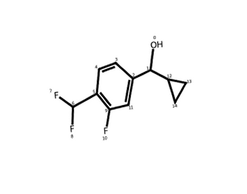 OC(c1ccc(C(F)F)c(F)c1)C1CC1